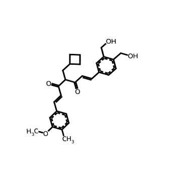 COc1cc(/C=C/C(=O)C(CC2CCC2)C(=O)/C=C/c2ccc(CO)c(CO)c2)ccc1C